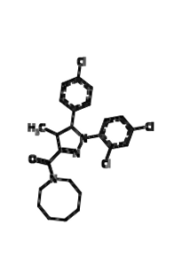 CC1C(C(=O)N2CCCCCCC2)=NN(c2ccc(Cl)cc2Cl)C1c1ccc(Cl)cc1